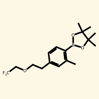 Cc1cc(CCOCC(F)(F)F)ccc1B1OC(C)(C)C(C)(C)O1